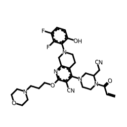 C=CC(=O)N1CCN(c2c(C#N)c(OCCCN3CCOCC3)nc3c2CCN(c2c(O)ccc(F)c2F)C3)CC1CC#N